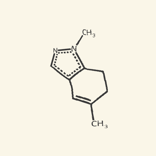 CC1=Cc2cnn(C)c2CC1